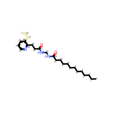 CCCCCCCCCCCCC(=O)N[CH]NC(=O)CCc1ncccc1SS